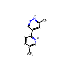 N#Cc1cc(-c2ccc(C(F)(F)F)cn2)cnn1